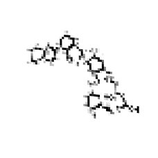 Cc1cc(CNC[C@@H](O)CC(=O)O)c(OCc2ccc(F)c(C#N)c2)cc1OCc1cccc(-c2ccc3c(c2)OCCO3)c1C